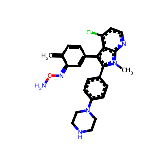 C=C1C=CC(c2c(-c3ccc(N4CCNCC4)cc3)n(C)c3nccc(Cl)c23)=C/C1=N/ON